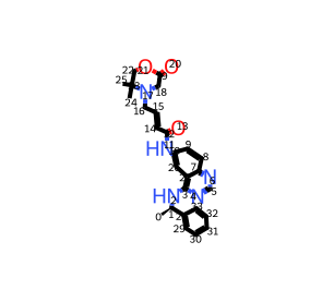 C[C@@H](Nc1ncnc2ccc(NC(=O)C=CCN3CC(=O)OCC3(C)C)cc12)c1ccccc1